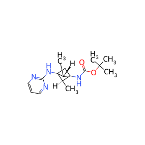 C[C@@H]1C2(NC(=O)OC(C)(C)C)CC1(Nc1ncccn1)[C@@H]2C